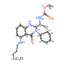 CCOC(=O)CCCNc1cccc2nc([C@H](CC)NC(=O)OC(C)(C)C)n(-c3ccccc3)c(=O)c12